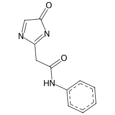 O=C1C=NC(CC(=O)Nc2ccccc2)=N1